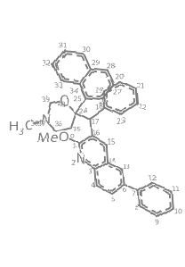 COc1nc2ccc(-c3ccccc3)cc2cc1C(c1ccccc1)C1(c2cccc3ccccc23)CCN(C)CO1